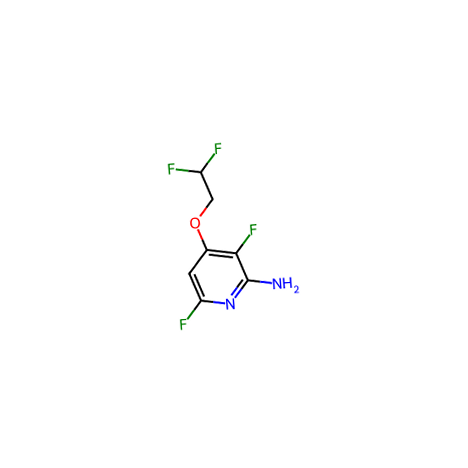 Nc1nc(F)cc(OCC(F)F)c1F